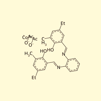 CC(=O)[O-].CC(=O)[O-].CCc1cc(C)c(O)c(C=Nc2ccccc2N=Cc2cc(CC)cc(C)c2O)c1.[Co+2]